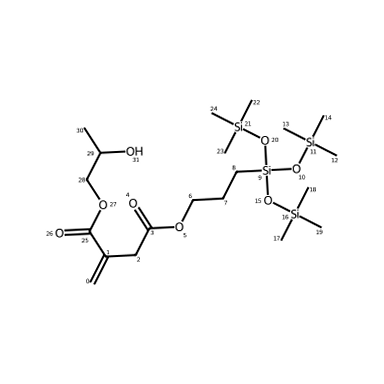 C=C(CC(=O)OCCC[Si](O[Si](C)(C)C)(O[Si](C)(C)C)O[Si](C)(C)C)C(=O)OCC(C)O